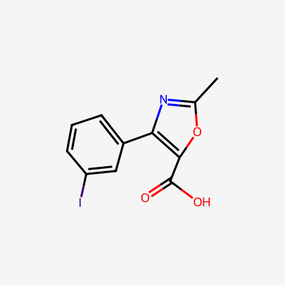 Cc1nc(-c2cccc(I)c2)c(C(=O)O)o1